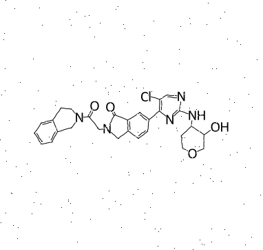 O=C(CN1Cc2ccc(-c3nc(NC4CCOCC4O)ncc3Cl)cc2C1=O)N1CCc2ccccc2C1